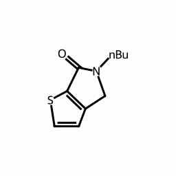 CCCCN1Cc2ccsc2C1=O